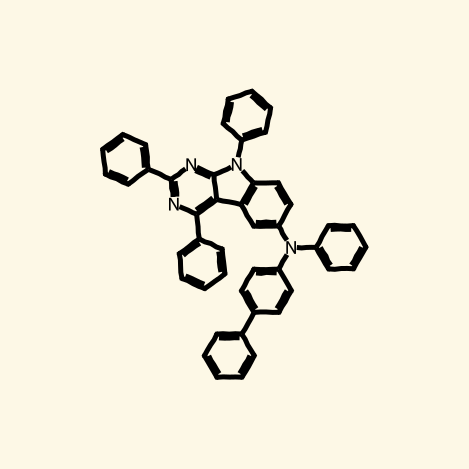 c1ccc(-c2ccc(N(c3ccccc3)c3ccc4c(c3)c3c(-c5ccccc5)nc(-c5ccccc5)nc3n4-c3ccccc3)cc2)cc1